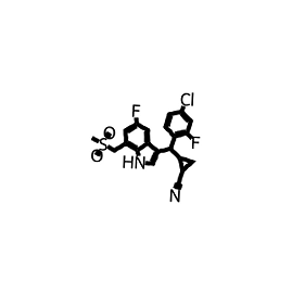 CS(=O)(=O)Cc1cc(F)cc2c(C(c3ccc(Cl)cc3F)C3CC3C#N)c[nH]c12